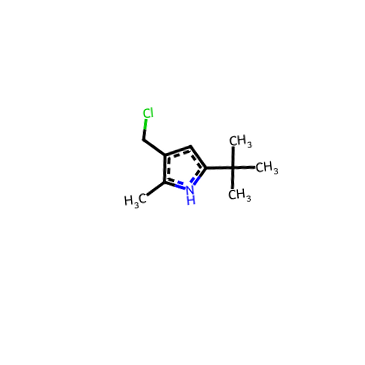 Cc1[nH]c(C(C)(C)C)cc1CCl